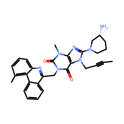 CC#CCn1c(N2CCC[C@@H](N)C2)nc2c1c(=O)n(Cc1nc3cccc(C)c3c3ccccc13)c(=O)n2C